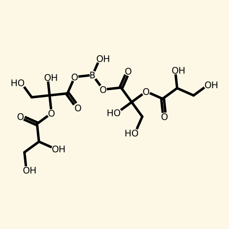 O=C(OC(O)(CO)C(=O)OB(O)OC(=O)C(O)(CO)OC(=O)C(O)CO)C(O)CO